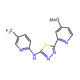 COc1ccnc(-c2nnc(Nc3ccc(C(F)(F)F)cn3)s2)c1